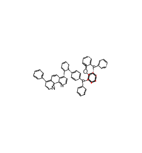 c1ccc(-c2ccnc3c2ccc2c(-c4ccccc4-c4ccc(P(c5ccccc5)c5ccccc5Oc5ccccc5P(c5ccccc5)c5ccccc5)cc4)ccnc23)cc1